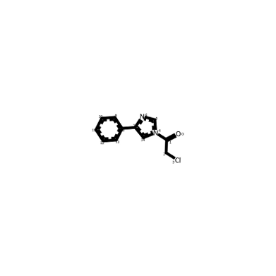 O=C(CCl)n1cnc(-c2ccccc2)c1